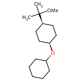 COC(C)(C)[C@H]1CC[C@@H](OC2CCCCC2)CC1